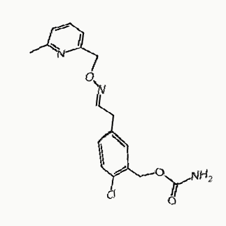 Cc1cccc(CON=CCc2ccc(Cl)c(COC(N)=O)c2)n1